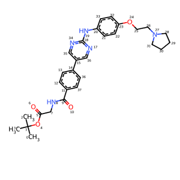 CC(C)(C)OC(=O)CNC(=O)c1ccc(-c2cnc(Nc3ccc(OCCN4CCCC4)cc3)nc2)cc1